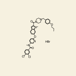 Br.CCCOc1ccc(CN2CCN(C(=O)c3cc4ccc(Oc5ccc(N(C)C(=O)c6ccc(Cl)c(Cl)c6)cn5)cc4n3C)CC2)cc1